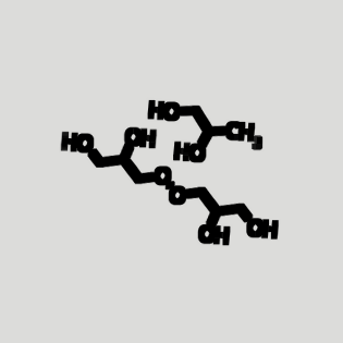 CC(O)CO.OCC(O)COOCC(O)CO